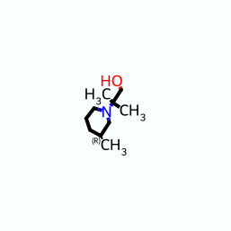 C[C@@H]1CCCN(C(C)(C)CO)C1